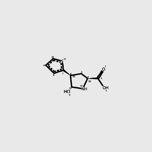 Cl.O=C(O)[C@@H]1C[C@H](c2cccs2)CN1